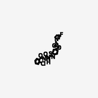 O=C(NC(=O)c1ccccc1Cl)Nc1nc2ccc(S(=O)(=O)CCN3CC[C@@H](F)C3)cc2s1